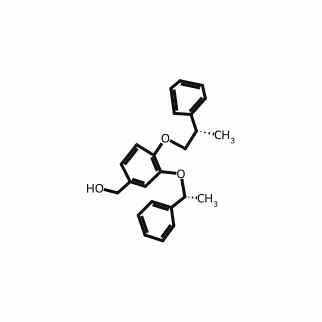 C[C@H](COc1ccc(CO)cc1O[C@H](C)c1ccccc1)c1ccccc1